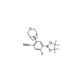 CC1(C)OB(c2cc(N3C4CCC3COC4)c(C#N)cc2F)OC1(C)C